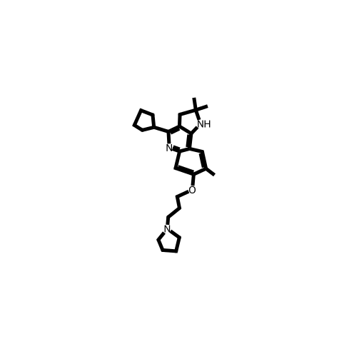 Cc1cc2c3c(c(C4CCCC4)nc2cc1OCCCN1CCCC1)CC(C)(C)N3